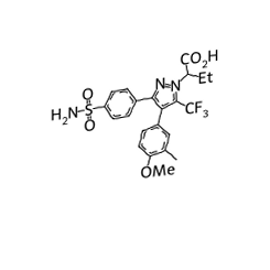 CCC(C(=O)O)n1nc(-c2ccc(S(N)(=O)=O)cc2)c(-c2ccc(OC)c(C)c2)c1C(F)(F)F